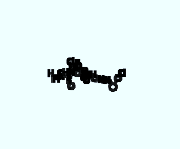 CC(C)N(C)CC[C@H](CSc1ccccc1)Nc1ccc(S(=O)(=O)NC(=O)c2ccc(N3CCN(CC4=C(c5ccc(Cl)cc5)CCCCC4)CC3)cc2)cc1S(=O)(=O)C(F)(F)Cl